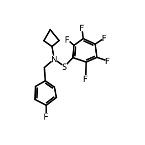 Fc1ccc(CN(Sc2c(F)c(F)c(F)c(F)c2F)C2CCC2)cc1